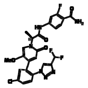 COc1cn([C@@H](C)C(=O)Nc2ccc(C(N)=O)c(F)c2)c(=O)cc1-c1cc(Cl)ccc1-n1cc(C(F)F)nn1